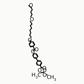 CCOC(=O)C(C)OC(=O)c1ccc(-c2ccc(OC(=O)c3ccc(OCCCCCCCCOCCCCC4CO4)cc3)cc2)cc1